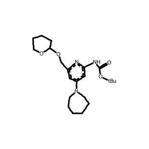 CC(C)(C)OC(=O)Nc1cc(N2CCCCCC2)cc(COC2CCCCO2)n1